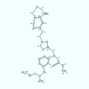 COCC(C)Oc1cccc(C(CC(=O)OC)CN2CCC(CCc3ccc4c(n3)NCCC4)C2)c1